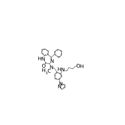 CN(Cc1ccc(-n2cccn2)cc1NCCCCO)C1N=C(c2ccccc2)c2ccccc2NC1=O